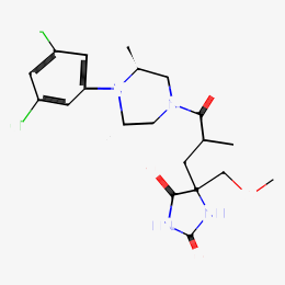 COCC1(CC(C)C(=O)N2C[C@H](C)N(c3cc(Cl)cc(Cl)c3)[C@@H](C)C2)NC(=O)NC1=O